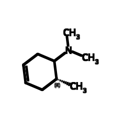 C[C@@H]1CC=CCC1N(C)C